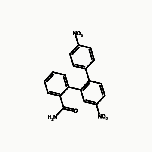 NC(=O)c1ccccc1-c1cc([N+](=O)[O-])ccc1-c1ccc([N+](=O)[O-])cc1